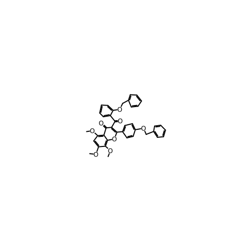 COc1cc(OC)c2c(=O)c(C(=O)c3ccccc3OCc3ccccc3)c(-c3ccc(OCc4ccccc4)cc3)oc2c1OC